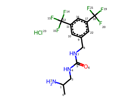 CC(N)CNC(=O)NCc1cc(C(F)(F)F)cc(C(F)(F)F)c1.Cl